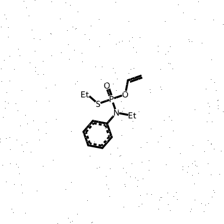 C=COP(=O)(SCC)N(CC)c1ccccc1